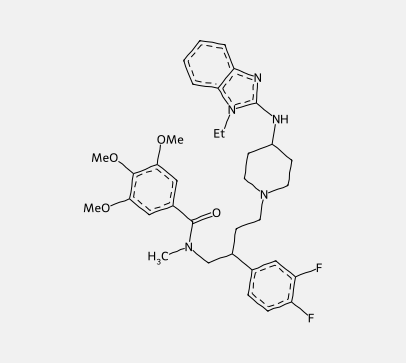 CCn1c(NC2CCN(CCC(CN(C)C(=O)c3cc(OC)c(OC)c(OC)c3)c3ccc(F)c(F)c3)CC2)nc2ccccc21